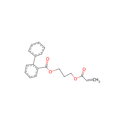 C=CC(=O)OCCCOC(=O)c1ccccc1-c1ccccc1